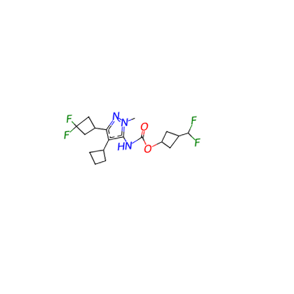 Cn1nc(C2CC(F)(F)C2)c(C2CCC2)c1NC(=O)OC1CC(C(F)F)C1